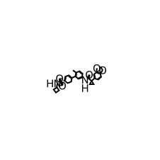 Cc1ccc(NC(=O)C2(c3ccc4c(c3)OCO4)CC2)cc1C1=CC=C(S(=O)(=O)NC2CCC2)CC1